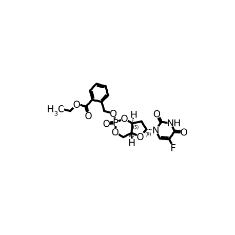 CCOC(=O)c1ccccc1COP1(=O)OC[C@H]2O[C@@H](n3cc(F)c(=O)[nH]c3=O)C[C@@H]2O1